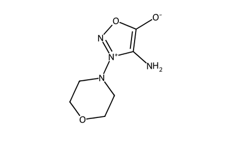 Nc1c([O-])on[n+]1N1CCOCC1